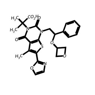 Cc1c(-c2ncco2)sc2c1c(=O)n(C(C)(C)C(=O)O)c(=O)n2CC(OC1COC1)c1ccccc1